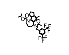 CC(=O)N(Cc1cc(C(F)(F)F)cc(C(F)(F)F)c1)C1CCCN(C(=O)OC(C)C)c2c1cc(C)c1c2CCC1